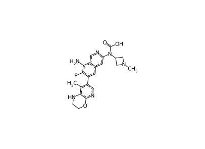 Cc1c(-c2cc3cc(N(C(=O)O)C4CN(C)C4)ncc3c(N)c2F)cnc2c1NCCO2